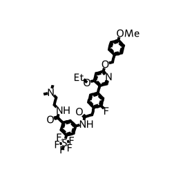 CCOc1cc(OCc2ccc(OC)cc2)ncc1-c1ccc(CC(=O)Nc2cc(C(=O)NCCN(C)C)cc(S(F)(F)(F)(F)F)c2)c(F)c1